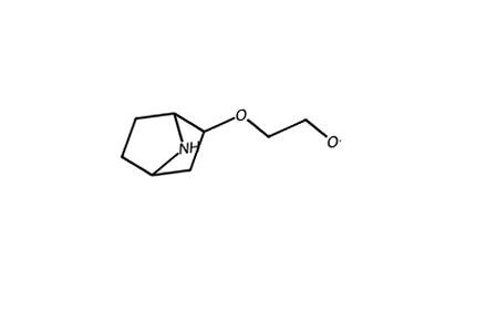 [O]CCOC1CC2CCC1N2